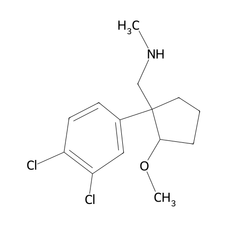 CNCC1(c2ccc(Cl)c(Cl)c2)CCCC1OC